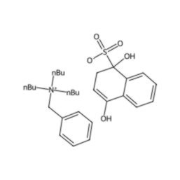 CCCC[N+](CCCC)(CCCC)Cc1ccccc1.O=S(=O)([O-])C1(O)CC=C(O)c2ccccc21